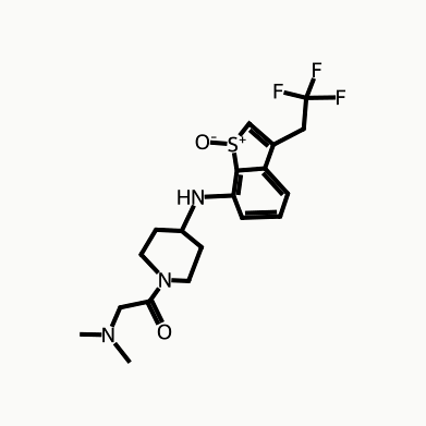 CN(C)CC(=O)N1CCC(Nc2cccc3c(CC(F)(F)F)c[s+]([O-])c23)CC1